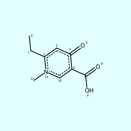 CCc1cc(=O)c(C(=O)O)cn1C